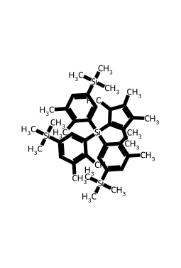 CC1=C(C)C(C)C([Si](c2cc([Si](C)(C)C)cc(C)c2C)(c2cc([Si](C)(C)C)cc(C)c2C)c2cc([Si](C)(C)C)cc(C)c2C)=C1C